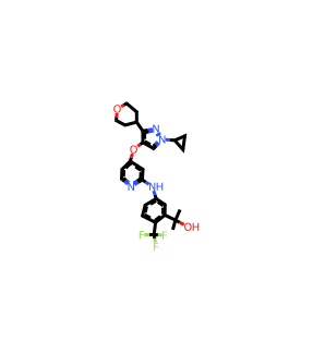 CC(C)(O)c1cc(Nc2cc(Oc3cn(C4CC4)nc3C3CCOCC3)ccn2)ccc1C(F)(F)F